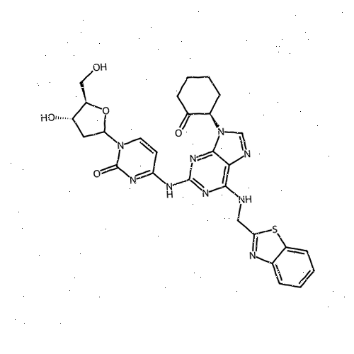 O=C1CCCC[C@H]1n1cnc2c(NCc3nc4ccccc4s3)nc(Nc3ccn(C4C[C@H](O)[C@@H](CO)O4)c(=O)n3)nc21